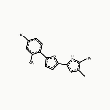 CCCc1[nH]c(-c2ccc(-c3ccc(O)cc3C(F)(F)F)o2)nc1C